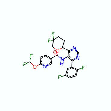 O=C(Nc1c(-c2cc(F)ccc2F)ncnc1C1CCC(F)(F)CO1)c1ccc(OC(F)F)nc1